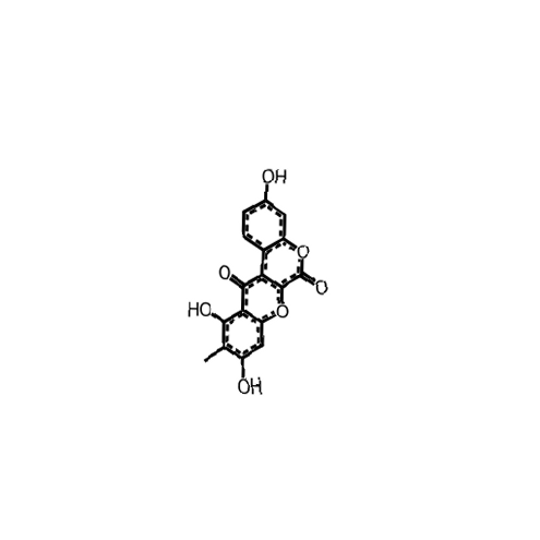 Cc1c(O)cc2oc3c(=O)oc4cc(O)ccc4c3c(=O)c2c1O